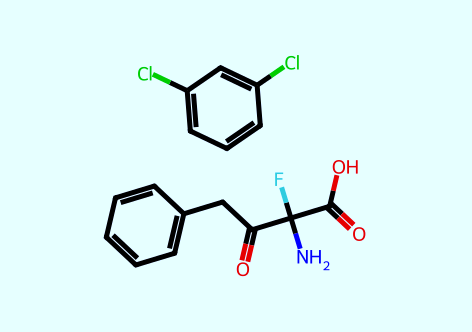 Clc1cccc(Cl)c1.NC(F)(C(=O)O)C(=O)Cc1ccccc1